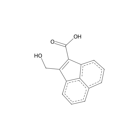 O=C(O)C1=C(CO)c2cccc3cccc1c23